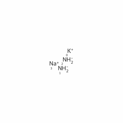 [K+].[NH2-].[NH2-].[Na+]